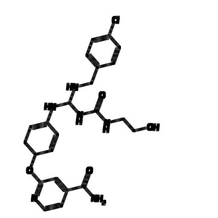 NC(=O)c1ccnc(OC2C=CC(NC(NCc3ccc(Cl)cc3)NC(=O)NCCO)=CC2)c1